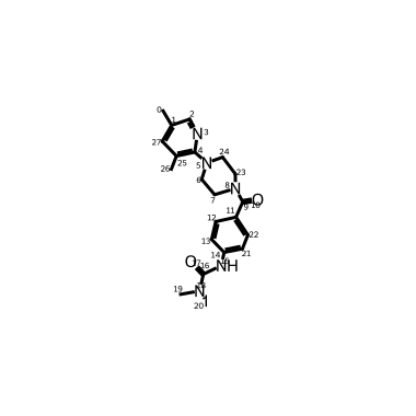 Cc1cnc(N2CCN(C(=O)c3ccc(NC(=O)N(C)I)cc3)CC2)c(C)c1